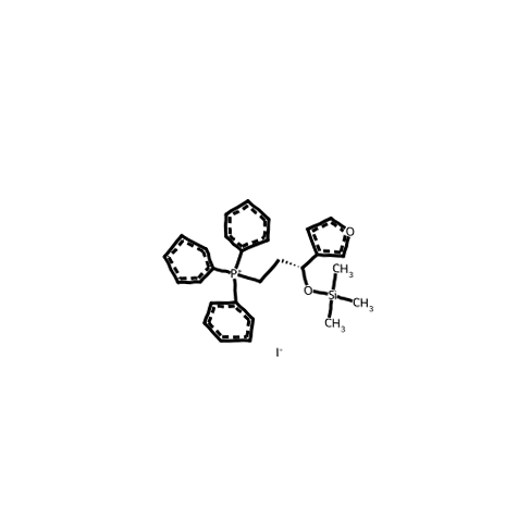 C[Si](C)(C)O[C@H](CC[P+](c1ccccc1)(c1ccccc1)c1ccccc1)c1ccoc1.[I-]